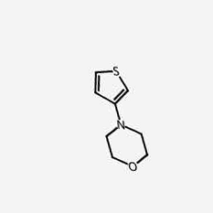 c1cc(N2CCOCC2)cs1